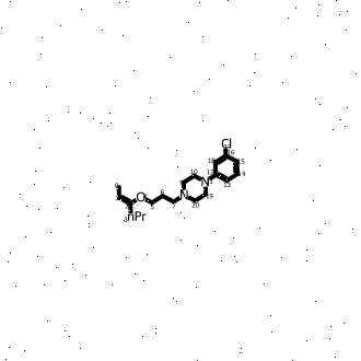 C/C=C(/CCC)OCCCN1CCN(c2cccc(Cl)c2)CC1